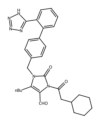 CCCCc1c(C=O)n(C(=O)CC2CCCCC2)c(=O)n1Cc1ccc(-c2ccccc2-c2nnn[nH]2)cc1